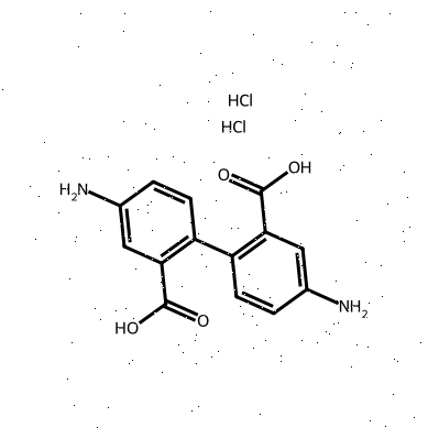 Cl.Cl.Nc1ccc(-c2ccc(N)cc2C(=O)O)c(C(=O)O)c1